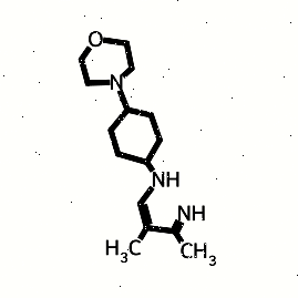 CC(=N)/C(C)=C\NC1CCC(N2CCOCC2)CC1